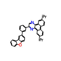 CC(C)c1ccc2c3ccc(C(C)C)cc3c3nc(-c4cccc(-c5ccc6oc7ccccc7c6c5)c4)cnc3c2c1